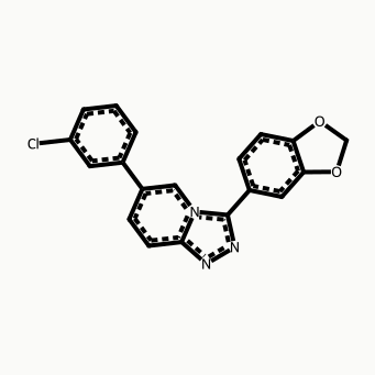 Clc1cccc(-c2ccc3nnc(-c4ccc5c(c4)OCO5)n3c2)c1